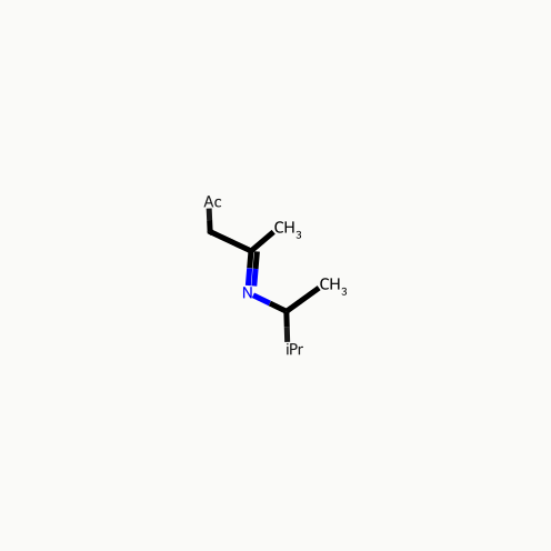 CC(=O)C/C(C)=N/C(C)C(C)C